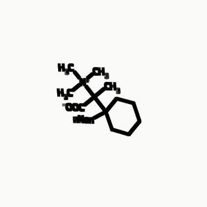 CCCCCCCCCC1(C(C)(C(=O)[O-])[N+](C)(C)C)CCCCC1